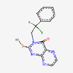 CCSc1nc2nccnc2c(=O)n1CC(F)(F)c1ccccc1